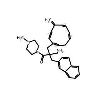 C=C1/C=C\C=C/C/C=C(CC(CN)(Cc2ccc3ccccc3c2)C(=O)N2CCN(C)CC2)\C=C/1